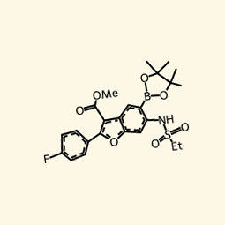 CCS(=O)(=O)Nc1cc2oc(-c3ccc(F)cc3)c(C(=O)OC)c2cc1B1OC(C)(C)C(C)(C)O1